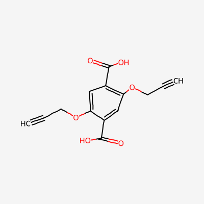 C#CCOc1cc(C(=O)O)c(OCC#C)cc1C(=O)O